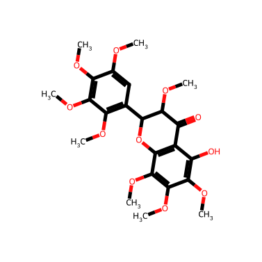 COc1cc(C2Oc3c(OC)c(OC)c(OC)c(O)c3C(=O)C2OC)c(OC)c(OC)c1OC